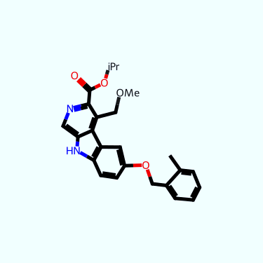 COCc1c(C(=O)OC(C)C)ncc2[nH]c3ccc(OCc4ccccc4C)cc3c12